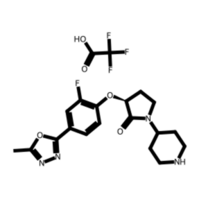 Cc1nnc(-c2ccc(O[C@H]3CCN(C4CCNCC4)C3=O)c(F)c2)o1.O=C(O)C(F)(F)F